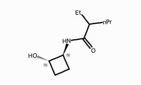 CCCC(CC)C(=O)N[C@H]1CC[C@@H]1O